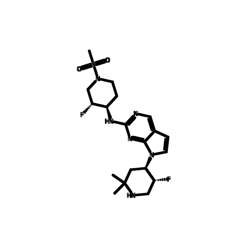 CC1(C)C[C@@H](n2ccc3cnc(N[C@@H]4CCN(S(C)(=O)=O)C[C@H]4F)nc32)[C@H](F)CN1